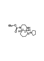 CC(C)(C)OC(=O)N1CCN[C@@H]2[C@@H](N3CCCC3)CCC[C@@H]21